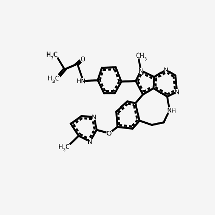 C=C(C)C(=O)Nc1ccc(-c2c3c4c(ncnc4n2C)NCCc2cc(Oc4nccc(C)n4)ccc2-3)cc1